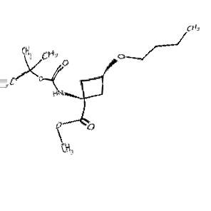 CCCCO[C@H]1C[C@](NC(=O)OC(C)(C)C)(C(=O)OC)C1